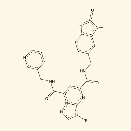 Cn1c(=O)oc2ccc(CNC(=O)c3cc(C(=O)NCc4cccnc4)n4ncc(F)c4n3)cc21